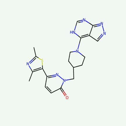 Cc1nc(C)c(-c2ccc(=O)n(CC3CCN(c4[nH]cnc5nncc4-5)CC3)n2)s1